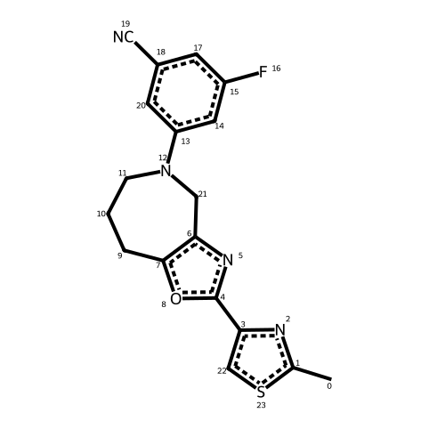 Cc1nc(-c2nc3c(o2)CCCN(c2cc(F)cc(C#N)c2)C3)cs1